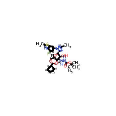 Cc1nc([C@@H]2O[C@@H]3COC(c4ccccc4)O[C@@H]3[C@H](NNC(=O)OC(C)(C)C)[C@H]2O)n(-c2cc(F)c3nc(C)sc3c2)n1